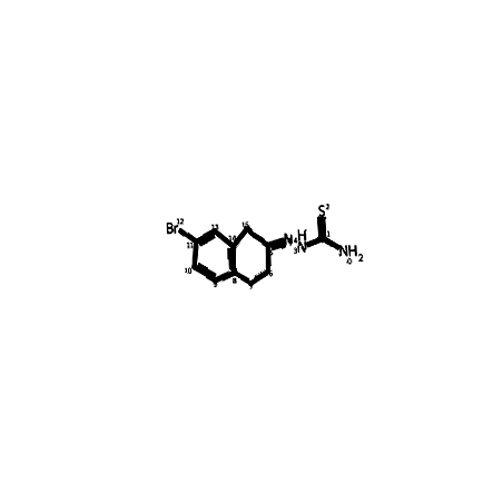 NC(=S)NN=C1CCc2ccc(Br)cc2C1